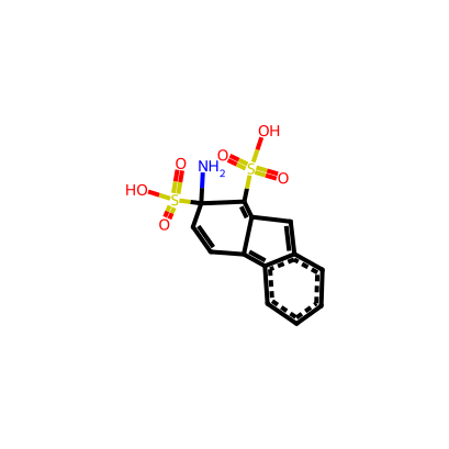 NC1(S(=O)(=O)O)C=CC2=c3ccccc3=CC2=C1S(=O)(=O)O